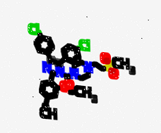 C#Cc1ccc(C2=N[C@@H](c3ccc(Cl)cc3)[C@@H](c3ccc(Cl)cc3)N2C(=O)N2CCN(CCS(C)(=O)=O)CC2)c(OCC)c1